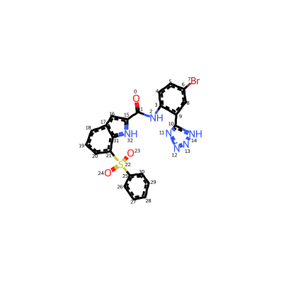 O=C(Nc1ccc(Br)cc1-c1nnn[nH]1)c1cc2cccc(S(=O)(=O)c3ccccc3)c2[nH]1